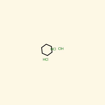 C1CCCCC1.Cl.Cl.Cl